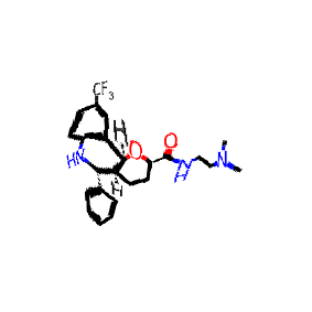 CN(C)CCNC(=O)[C@H]1CC[C@@H]2[C@H](O1)c1cc(C(F)(F)F)ccc1N[C@H]2c1ccccc1